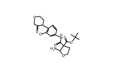 CC(C)(C)OC(=O)C1(C(=O)Nc2ccc(N3CCOCC3=O)c(Cl)c2)CCOC1N